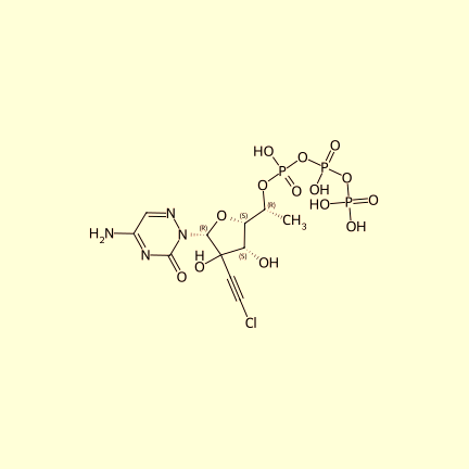 C[C@@H](OP(=O)(O)OP(=O)(O)OP(=O)(O)O)[C@H]1O[C@@H](n2ncc(N)nc2=O)C(O)(C#CCl)[C@H]1O